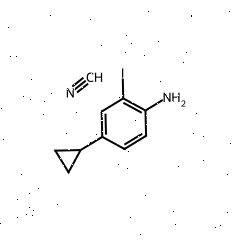 C#N.Nc1ccc(C2CC2)cc1I